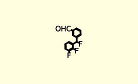 O=Cc1cccc(C(F)c2cccc(F)c2F)c1